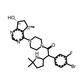 C[C@@H]1C[C@@H](O)c2ncnc(N3CCN(C(=O)C(c4ccc(Br)c(F)c4)C4CCC(C)(C)N4)CC3)c21